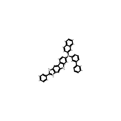 c1ccc(-c2cccc(N(c3ccc4ccccc4c3)c3ccc4c(c3)oc3cc5nc(-c6ccccc6)oc5cc34)c2)cc1